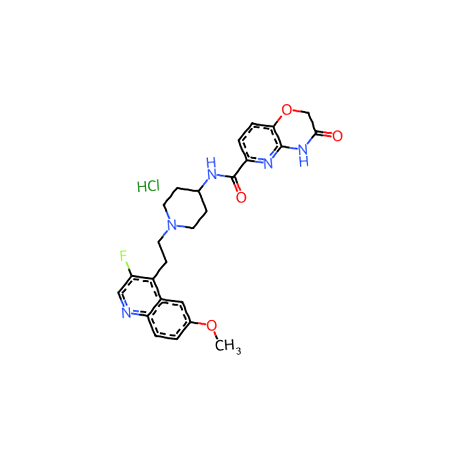 COc1ccc2ncc(F)c(CCN3CCC(NC(=O)c4ccc5c(n4)NC(=O)CO5)CC3)c2c1.Cl